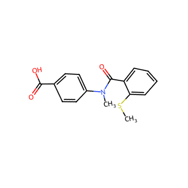 CSc1ccccc1C(=O)N(C)c1ccc(C(=O)O)cc1